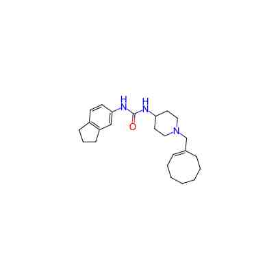 O=C(Nc1ccc2c(c1)CCC2)NC1CCN(C/C2=C/CCCCCC2)CC1